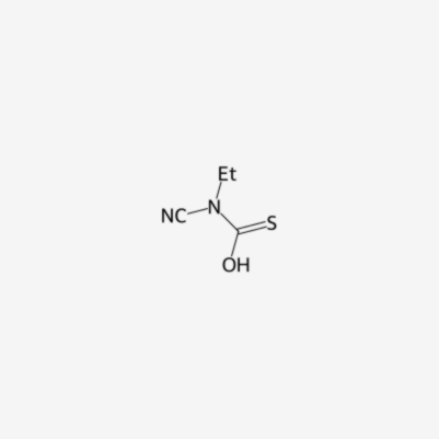 CCN(C#N)C(O)=S